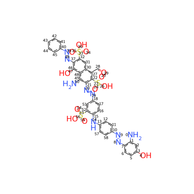 Nc1cc(O)ccc1N=Nc1ccc(Nc2ccc(N=Nc3c(S(=O)(=O)O)c(C=O)c4cc(S(=O)(=O)O)c(N=Nc5ccccc5)c(O)c4c3N)cc2S(=O)(=O)O)cc1